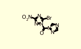 O=C(n1cncn1)n1nc([N+](=O)[O-])nc1Br